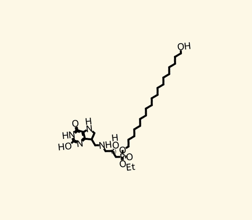 CCOP(=O)(C[C@@H](O)CNCC1CNc2c1nc(O)[nH]c2=O)OCCCCCCCCCCCCCCCCCCCO